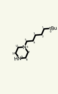 CC(C)(C)CCCCCN1CCNCC1